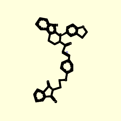 O=C1c2ccccc2C(=O)N1CCOc1ccc(/C=C/C(=O)N2CCc3c([nH]c4ccccc34)[C@H]2c2ccc3c(c2)CCO3)cc1